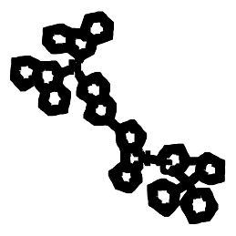 c1ccc(C2(c3ccccc3)c3ccccc3-c3ccc(-n4c5ccccc5c5cc(-c6ccc7cc(N(c8cc9ccccc9c9ccccc89)c8cc9ccccc9c9ccccc89)ccc7c6)ccc54)cc32)cc1